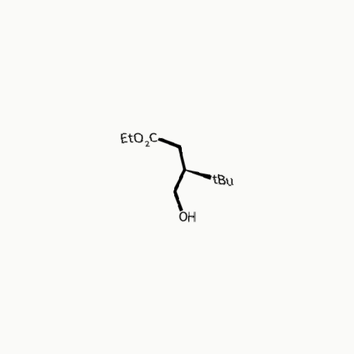 CCOC(=O)C[C@H](CO)C(C)(C)C